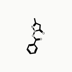 CC1=NN(OC(=O)c2ccccc2)C(=O)C1